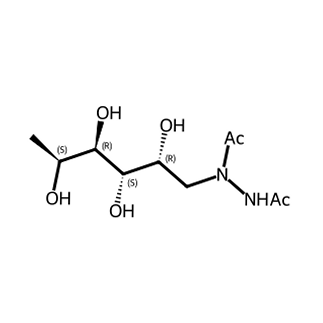 CC(=O)NN(C[C@@H](O)[C@H](O)[C@H](O)[C@H](C)O)C(C)=O